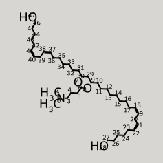 CN(C)CCCC(=O)OC(CCCCCCCC/C=C\C/C=C\CCCCCO)CCCCCCCC/C=C\C/C=C\CCCCCO